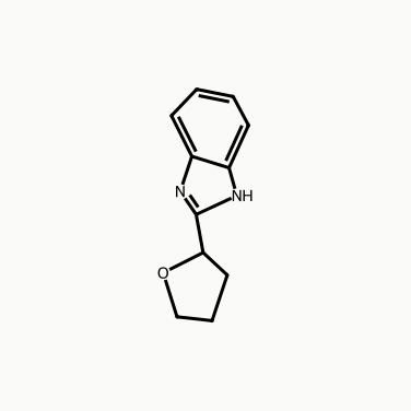 c1ccc2[nH]c(C3CCCO3)nc2c1